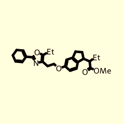 CCc1oc(C2=CCCC=C2)nc1CCOc1ccc2c(c1)CCC2C(CC)C(=O)OC